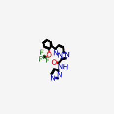 O=C(Nc1ccncn1)c1cnc2ccc(-c3ccccc3OC(F)(F)F)nn12